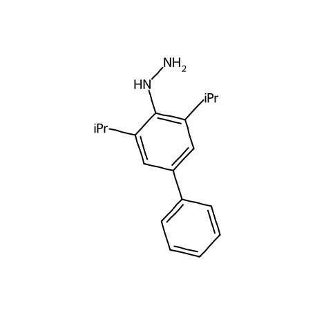 CC(C)c1cc(-c2ccccc2)cc(C(C)C)c1NN